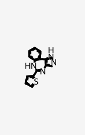 c1csc(C2=Nc3cn[nH]c3-c3ccccc3N2)c1